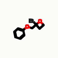 CCC1(COc2ccccc2)CCO1